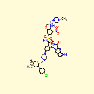 CN1CCN(C[C@H]2COc3cc(S(=O)(=O)NC(=O)c4ccc(N5CCN(CC6=C(c7ccc(Cl)cc7)CC(C)(C)CC6)CC5)cc4-n4c5cc6cc[nH]c6nc5c(=O)n4C)cc([N+](=O)[O-])c3N2)CC1